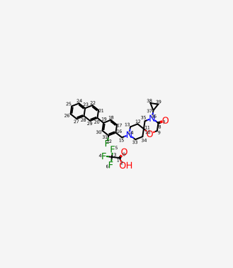 O=C(O)C(F)(F)F.O=C1COC2(CCN(Cc3ccc(-c4ccc5ccccc5c4)cc3F)CC2)CN1C1CC1